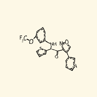 O=C(c1nocc1-c1cccnc1)C(Nc1cccc(OC(F)(F)F)c1)c1cccs1